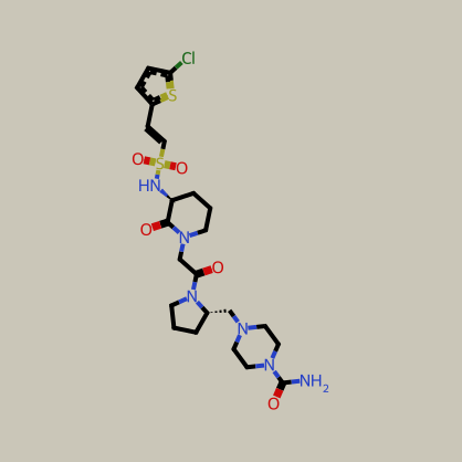 NC(=O)N1CCN(C[C@@H]2CCCN2C(=O)CN2CCC[C@H](NS(=O)(=O)/C=C/c3ccc(Cl)s3)C2=O)CC1